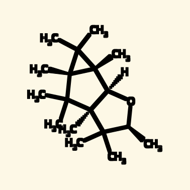 C[C@@H]1O[C@H]2[C@@](C)(C1(C)C)C(C)(C)[C@]1(C)C(C)(C)[C@]21C